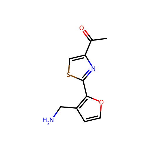 CC(=O)c1csc(-c2occc2CN)n1